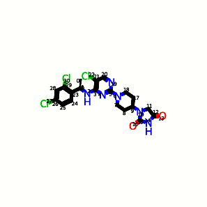 C[C@@H](Nc1nc(N2CCC(N3CC(=O)NC3=O)CC2)ncc1Cl)c1ccc(Cl)cc1Cl